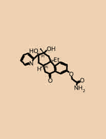 CC[C@@]12C[C@@](C)(O)[C@](O)(c3ccccn3)C[C@@H]1CC(=O)c1cc(OCC(N)=O)ccc12